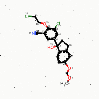 COCOc1ccc2c(c1)CCC2(O)c1cc(Cl)c(OCCCl)c(C#N)c1